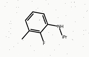 Cc1cccc(NC(C)C)c1F